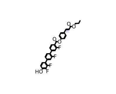 CCCOC(=O)/C=C/c1ccc(OC(=O)c2ccc(-c3ccc(-c4ccc(O)c(F)c4F)cc3F)cc2F)cc1